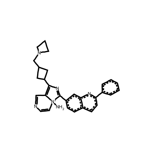 N[N+]12C=CN=CC1=C(C1CC(CN3CCC3)C1)N=C2c1ccc2ccc(-c3ccccc3)nc2c1